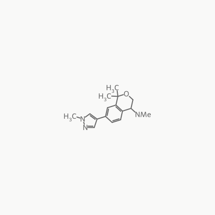 CNC1COC(C)(C)c2cc(-c3cnn(C)c3)ccc21